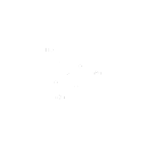 CCCCOP(=O)(OCCCC)C(C)(C)O